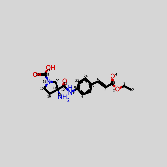 CCOC(=O)/C=C/c1ccc(NC(=O)[C@]2(N)CCN(C(=O)O)C2)cc1